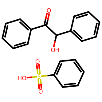 O=C(c1ccccc1)C(O)c1ccccc1.O=S(=O)(O)c1ccccc1